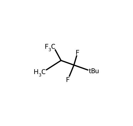 CC(C(F)(F)F)C(F)(F)C(C)(C)C